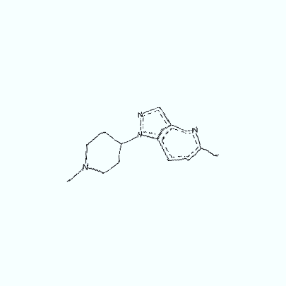 Cc1ccc2c(cnn2C2CCN(C)CC2)n1